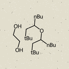 CCCCC(CC(C)(C)C)OC(CCCC)CC(C)(C)C.OCCO